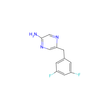 Nc1cnc(Cc2cc(F)cc(F)c2)cn1